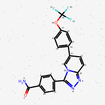 NC(=O)c1ccc(-c2nnc3ccc(-c4ccc(OC(F)(F)F)cc4)cn23)cc1